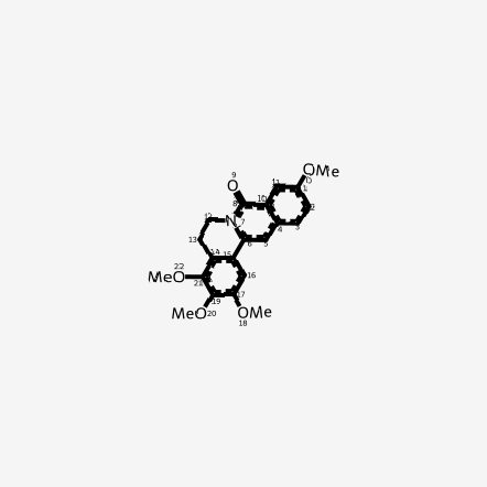 COc1ccc2cc3n(c(=O)c2c1)CCc1c-3cc(OC)c(OC)c1OC